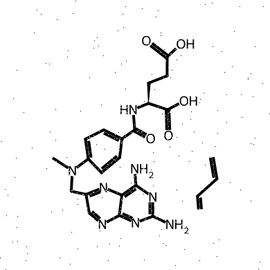 C=CC=C.CN(Cc1cnc2nc(N)nc(N)c2n1)c1ccc(C(=O)N[C@@H](CCC(=O)O)C(=O)O)cc1